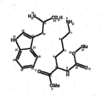 COC(=O)C(CCCCN)NC(=O)OC(C)(C)C.NC(Cc1c[nH]c2ccccc12)C(=O)O